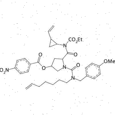 C=CCCCCCN(Cc1ccc(OC)cc1)C(=O)N1CC(OC(=O)c2ccc([N+](=O)[O-])cc2)CC1C(=O)N(C(=O)OCC)C1CC1C=C